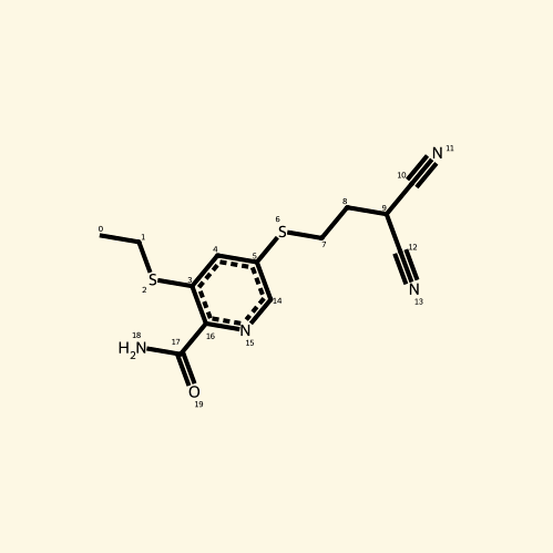 CCSc1cc(SCCC(C#N)C#N)cnc1C(N)=O